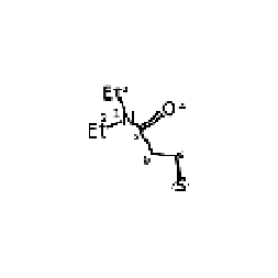 CCN(CC)C(=O)CC[S]